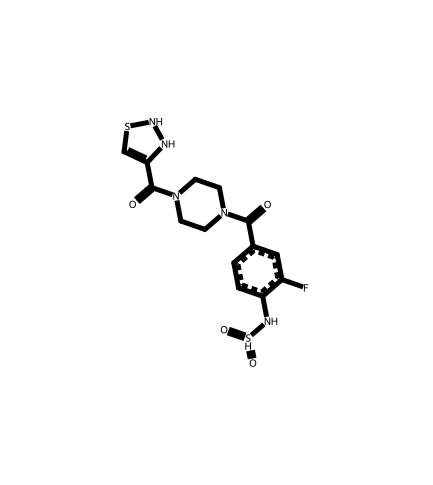 O=C(C1=CSNN1)N1CCN(C(=O)c2ccc(N[SH](=O)=O)c(F)c2)CC1